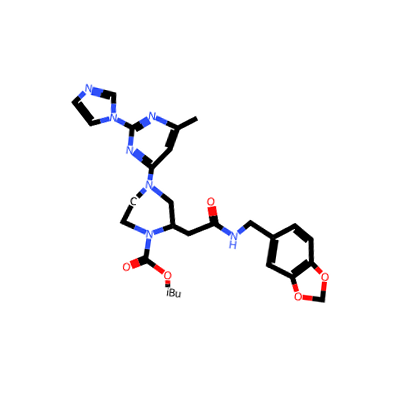 CCC(C)OC(=O)N1CCN(c2cc(C)nc(-n3ccnc3)n2)CC1CC(=O)NCc1ccc2c(c1)OCO2